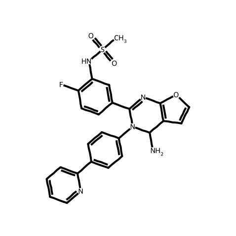 CS(=O)(=O)Nc1cc(C2=Nc3occc3C(N)N2c2ccc(-c3ccccn3)cc2)ccc1F